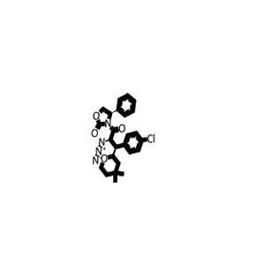 CC1(C)CCOC([C@H](c2ccc(Cl)cc2)[C@H](N=[N+]=[N-])C(=O)N2C(=O)OC[C@@H]2c2ccccc2)C1